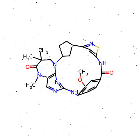 COc1cc2ccc1Nc1ncc3c(n1)N(CC(C)(C)C(=O)N3C)C1CCC(C1)c1cc(sn1)NC2=O